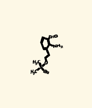 CC(C)(C)[Si](C)(C)OCCc1cccc(C=O)c1N